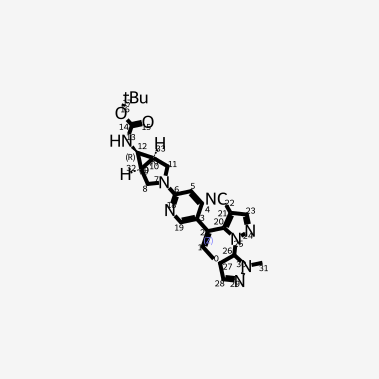 C/C=C(/c1ccc(N2C[C@@H]3[C@H](C2)[C@@H]3NC(=O)OC(C)(C)C)nc1)c1c(C#N)cnn1C1CC=NN1C